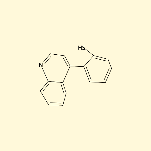 Sc1ccccc1-c1ccnc2ccccc12